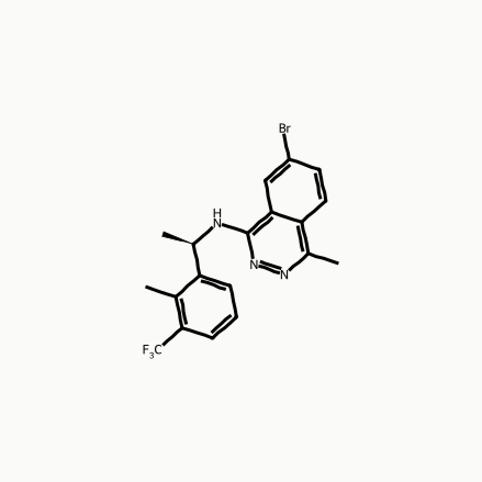 Cc1c([C@@H](C)Nc2nnc(C)c3ccc(Br)cc23)cccc1C(F)(F)F